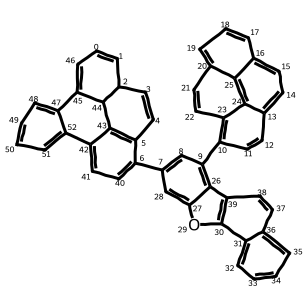 C1=CC2C=Cc3c(-c4cc(-c5ccc6ccc7cccc8ccc5c6c78)c5c(c4)oc4c6ccccc6ccc45)ccc4c3C2C(=C1)c1ccccc1-4